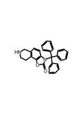 O=c1oc2c3c(ccc2n1C(c1ccccc1)(c1ccccc1)c1ccccc1)CNCC3